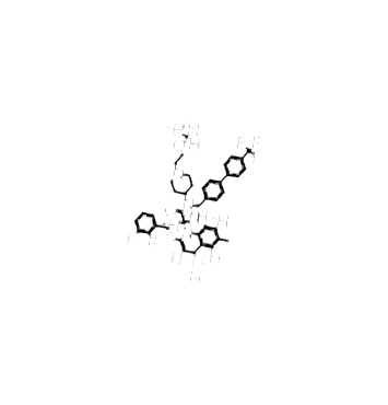 [2H]C1=C(SCc2cccc(F)c2F)N(C([2H])([2H])C(=O)N(Cc2ccc(-c3ccc(C(F)(F)F)cc3)cc2)C2CCN(CCOC([2H])([2H])[2H])CC2)c2c([2H])c([2H])c(C)c([2H])c2C1O